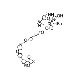 Cc1ccc(-c2ccc(OC3CCN(CCOCCOCCOCCOCCOCC(=O)N[C@H](C(=O)N4C[C@H](O)C[C@H]4C(=O)N[C@@H](C)c4ccc(-c5scnc5C)cc4)C(C)(C)C)CC3)cc2)cc1C1=C(O)CC(C)(C)CC1=O